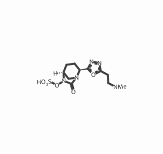 CNCCc1nnc([C@@H]2CC[C@H]3CN2C(=O)N3OS(=O)(=O)O)o1